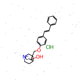 Cl.OC1(COc2ccc(C=Cc3ccccc3)cc2)CN2CCC1CC2